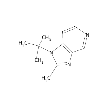 Cc1nc2cnccc2n1C(C)(C)C